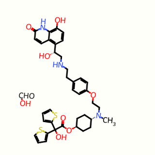 CN(CCOc1ccc(CCNC[C@H](O)c2ccc(O)c3[nH]c(=O)ccc23)cc1)[C@H]1CC[C@H](OC(=O)C(O)(c2cccs2)c2cccs2)CC1.O=CO